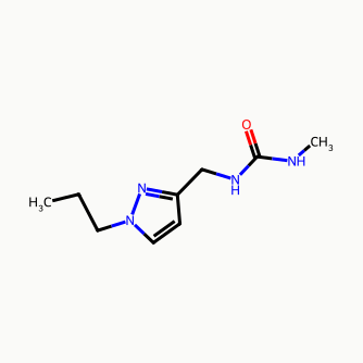 CCCn1ccc(CNC(=O)NC)n1